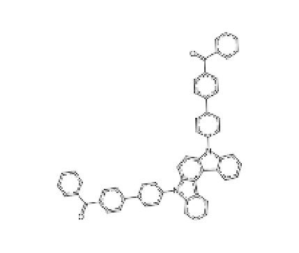 O=C(c1ccccc1)c1ccc(-c2ccc(-n3c4ccccc4c4c5c6ccccc6n(-c6ccc(-c7ccc(C(=O)c8ccccc8)cc7)cc6)c5ccc43)cc2)cc1